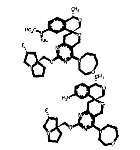 C[C@@H]1OC[C@@]2(Cc3nc(OC[C@@]45CCCN4C[C@H](F)C5)nc(N4CCCOCC4)c3CO2)c2cc(N(C(=O)O)C(C)(C)C)ccc21.C[C@@H]1OC[C@@]2(Cc3nc(OC[C@@]45CCCN4C[C@H](F)C5)nc(N4CCCOCC4)c3CO2)c2cc(N)ccc21